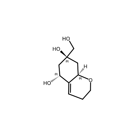 OC[C@@]1(O)C[C@@H](O)C2=CCCO[C@@H]2C1